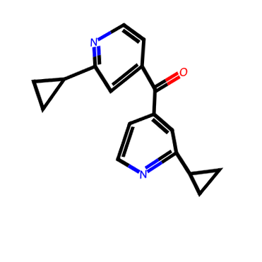 O=C(c1ccnc(C2CC2)c1)c1ccnc(C2CC2)c1